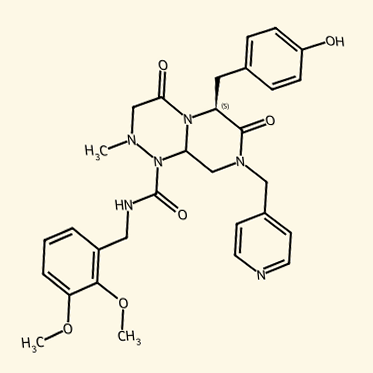 COc1cccc(CNC(=O)N2C3CN(Cc4ccncc4)C(=O)[C@H](Cc4ccc(O)cc4)N3C(=O)CN2C)c1OC